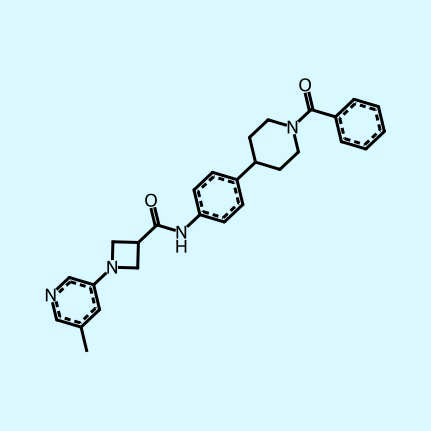 Cc1cncc(N2CC(C(=O)Nc3ccc(C4CCN(C(=O)c5ccccc5)CC4)cc3)C2)c1